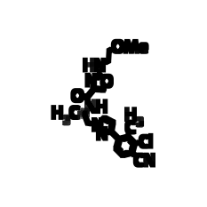 COCCNc1nc(C(=O)N[C@@H](C)Cn2ccc(-c3ccc(C#N)c(Cl)c3C)n2)co1